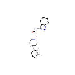 Cc1cccc(C2(O)CCN(OC(=O)Nc3n[nH]c4ccccc34)CC2)c1C